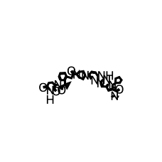 CN(C)C(=O)c1cc2cnc(Nc3ccc(N4CCN(C(=O)Cc5cccc6c5C5(CC5)C(=O)N6C5CCC(=O)NC5=O)CC4)cn3)nc2n1C1CCCC1